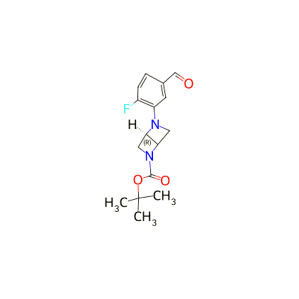 CC(C)(C)OC(=O)N1C[C@@H]2C1CN2c1cc(C=O)ccc1F